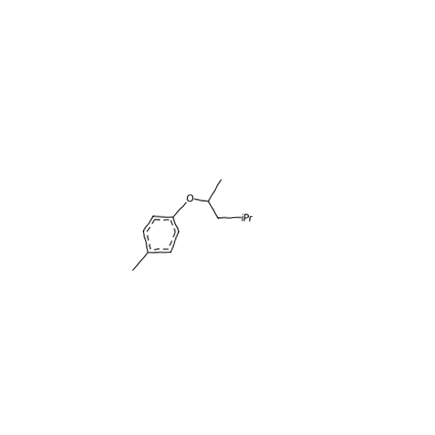 Cc1ccc(OC(C)CC(C)C)cc1